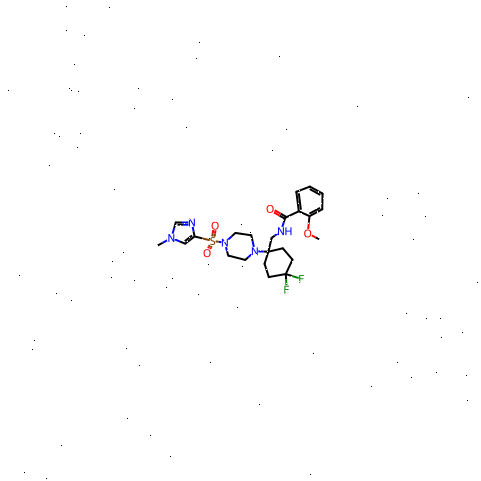 COc1ccccc1C(=O)NCC1(N2CCN(S(=O)(=O)c3cn(C)cn3)CC2)CCC(F)(F)CC1